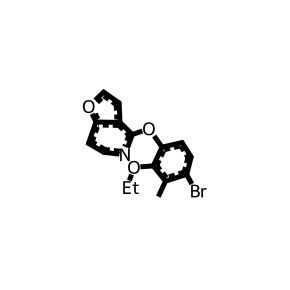 CCOc1c(Oc2nccc3occc23)ccc(Br)c1C